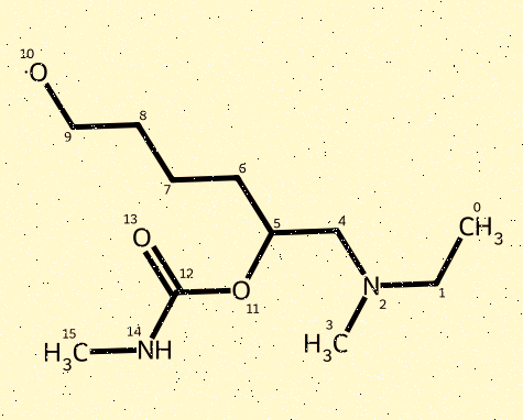 CCN(C)CC(CCCC[O])OC(=O)NC